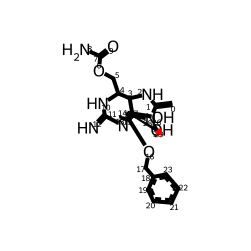 C=C1NC2C(COC(N)=O)NC(=N)N3CC(OCc4ccccc4)[C@](C)(O)C23N1O